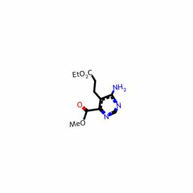 CCOC(=O)CCc1c(N)ncnc1C(=O)OC